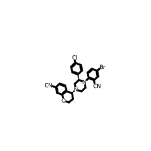 [C-]#[N+]c1ccc2c(c1)OCC[C@@H]2N1CCN(c2ccc(Br)cc2C#N)[C@H](c2ccc(Cl)cc2)C1